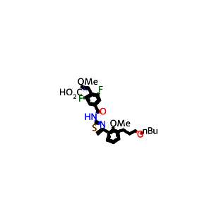 CCCCOCCCc1cccc(-c2csc(NC(=O)c3cc(F)c(/C=C(/OC)C(=O)O)c(F)c3)n2)c1OC